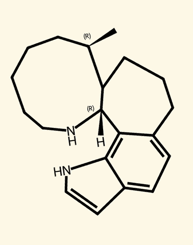 C[C@@H]1CCCCCN[C@H]2c3c(ccc4cc[nH]c34)CCCC12